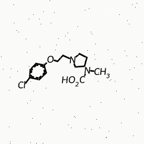 CN(C(=O)O)C1CCN(CCOc2ccc(Cl)cc2)C1